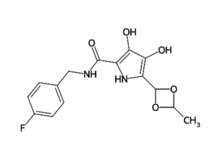 CC1OC(c2[nH]c(C(=O)NCc3ccc(F)cc3)c(O)c2O)O1